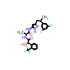 CC(NC(=O)C(O)c1ccccc1C(F)(F)F)C(=O)Nc1cc(CC(C)c2cc(F)cc(F)c2)n[nH]1